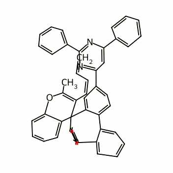 C=C/C=C\C1=C(C)Oc2ccccc2C12c1ccccc1-c1ccccc1-c1ccc(-c3cc(-c4ccccc4)nc(-c4ccccc4)n3)cc12